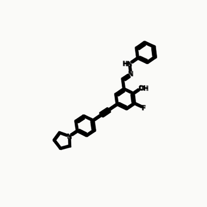 Oc1c(F)cc(C#Cc2ccc(N3CCCC3)cc2)cc1C=NNc1ccccc1